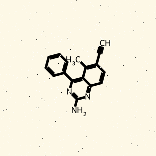 C#Cc1ccc2nc(N)nc(-c3ccccc3)c2c1C